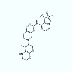 Cc1c(N2CCc3cnc(Nc4cccnc4C4(S(C)(=O)=O)CC4)nc3C2)cnc2c1NCCO2